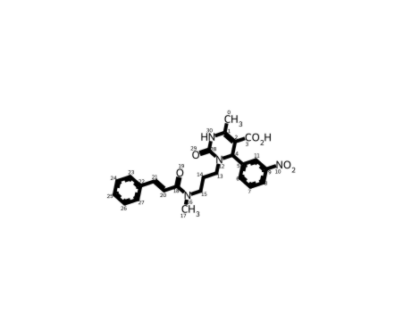 CC1=C(C(=O)O)C(c2cccc([N+](=O)[O-])c2)N(CCCN(C)C(=O)C=Cc2ccccc2)C(=O)N1